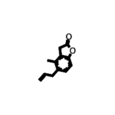 C=CCc1ccc2c(c1C)CC(=O)O2